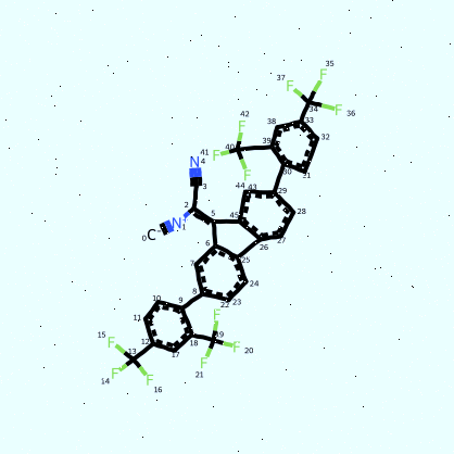 [C-]#[N+]C(C#N)=C1c2cc(-c3ccc(C(F)(F)F)cc3C(F)(F)F)ccc2-c2ccc(-c3ccc(C(F)(F)F)cc3C(F)(F)F)cc21